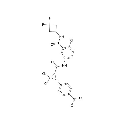 O=C(NC1CC(F)(F)C1)c1cc(NC(=O)C2C(c3ccc([N+](=O)[O-])cc3)C2(Cl)Cl)ccc1Cl